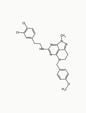 COc1ccc(CN2CCc3nn(C)c4nc(NCCc5ccc(Cl)c(Cl)c5)nc2c34)cc1